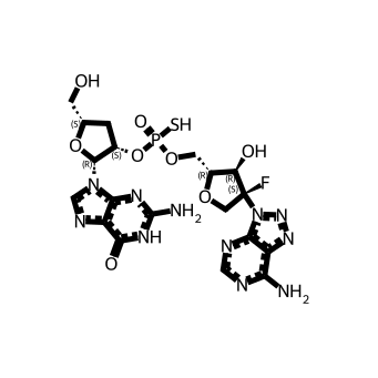 Nc1nc2c(ncn2[C@@H]2O[C@H](CO)C[C@@H]2OP(=O)(S)OC[C@H]2OC[C@@](F)(n3nnc4c(N)ncnc43)[C@@H]2O)c(=O)[nH]1